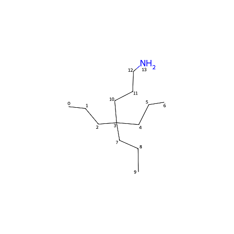 CCCC(CCC)(CCC)CCCN